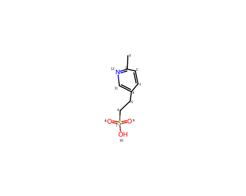 Cc1ccc([CH]CS(=O)(=O)O)cn1